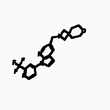 FC(F)(F)c1cc(-n2ccc3cc(CN4CC5(CCOCC5)C4)cnc32)ccn1